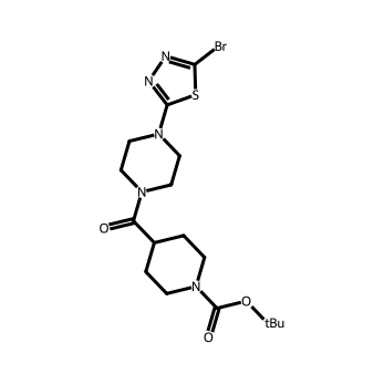 CC(C)(C)OC(=O)N1CCC(C(=O)N2CCN(c3nnc(Br)s3)CC2)CC1